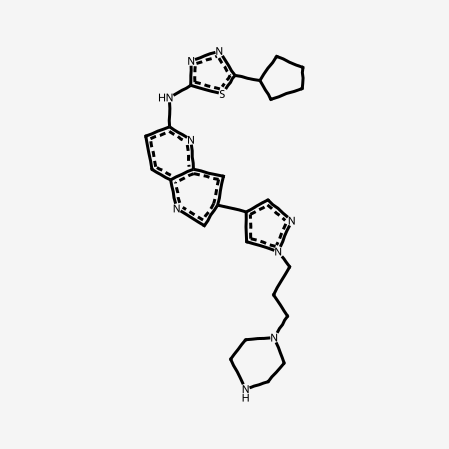 c1nc2ccc(Nc3nnc(C4CCCC4)s3)nc2cc1-c1cnn(CCCN2CCNCC2)c1